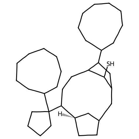 SC1C2CC3CC[C@H](C3)C(C3(C4CCCCCCCC4)CCCC3)CCC1C(C1CCCCCCCC1)C2